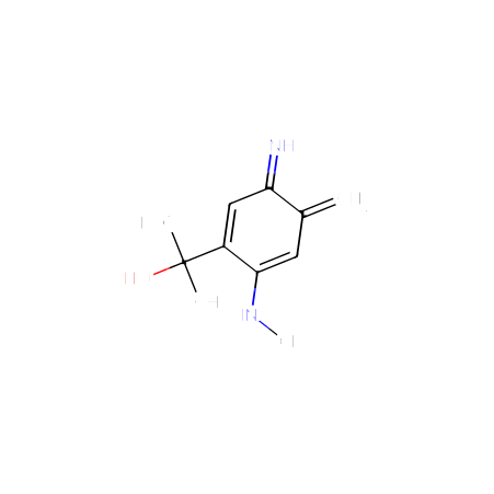 C=C1C=C(NC)C(C(C)(C)O)=CC1=N